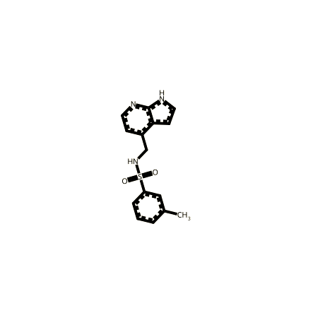 Cc1cccc(S(=O)(=O)NCc2ccnc3[nH]ccc23)c1